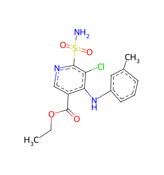 CCOC(=O)c1cnc(S(N)(=O)=O)c(Cl)c1Nc1cccc(C)c1